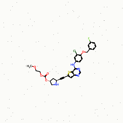 COCCOC(=O)O[C@H]1CN[C@H](C#Cc2cc3ncnc(Nc4ccc(OCc5cccc(F)c5)c(Cl)c4)c3s2)C1